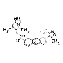 Cc1cc(N)nc(C)c1CNC(=O)c1ccc2c(c1)c1oc2c2ccc(-c3c(C)noc3C)cc21